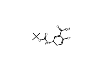 CC(C)(C)OC(=O)NC1C=C(C(=O)O)C(Br)=CC1